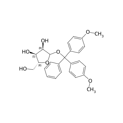 COc1ccc(C(OC2O[C@H](CO)[C@@H](O)[C@H]2O)(c2ccccc2)c2ccc(OC)cc2)cc1